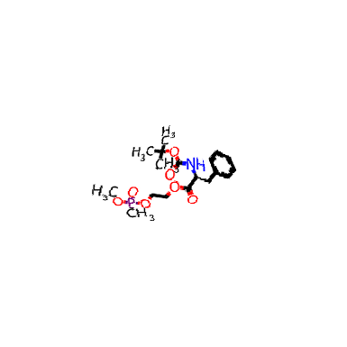 COP(C)(=O)OCCOC(=O)[C@H](Cc1ccccc1)NC(=O)OC(C)(C)C